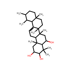 CC1CCC2(C)CCC3(C)C(=CCC4C5(C)CC(O)C(O)C(C)(C)C5C(O)CC43C)C2C1C